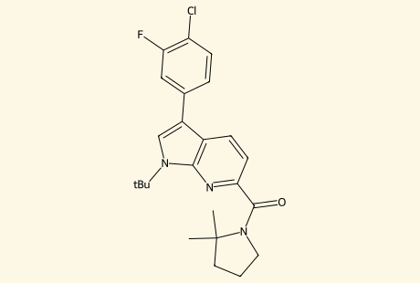 CC1(C)CCCN1C(=O)c1ccc2c(-c3ccc(Cl)c(F)c3)cn(C(C)(C)C)c2n1